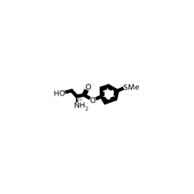 CSc1ccc(OC(=O)[C@@H](N)CO)cc1